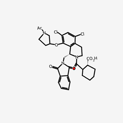 CC(=O)N1CCC(Oc2c(Cl)cc(Cl)c3c2[C@@H](CN2C(=O)c4ccccc4C2=O)N(C(=O)C2CCCC[C@H]2C(=O)O)CC3)C1